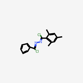 Cc1cc(C)c(/C(Cl)=N/N=C(\Cl)c2ccccc2)c(C)c1